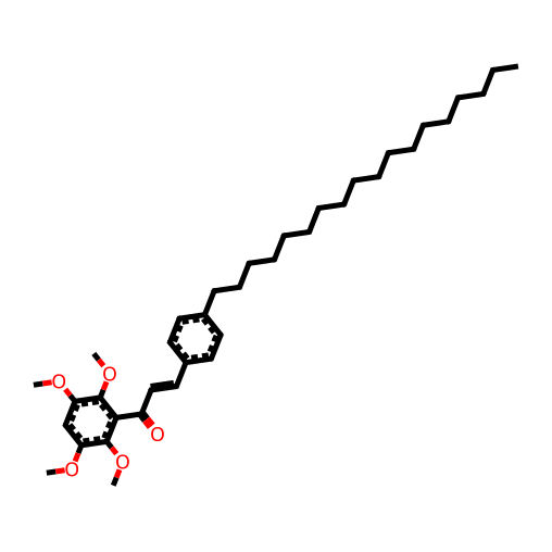 CCCCCCCCCCCCCCCCCCc1ccc(C=CC(=O)c2c(OC)c(OC)cc(OC)c2OC)cc1